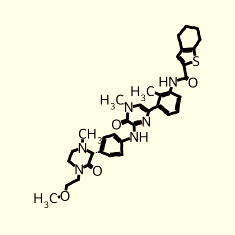 COCCN1CCN(C)[C@H](c2ccc(Nc3nc(-c4cccc(NC(=O)c5cc6c(s5)CCCC6)c4C)cn(C)c3=O)cc2)C1=O